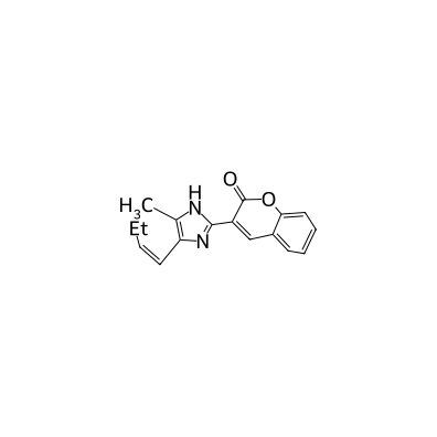 CC/C=C\c1nc(-c2cc3ccccc3oc2=O)[nH]c1C